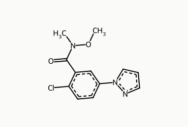 CON(C)C(=O)c1cc(-n2cccn2)ccc1Cl